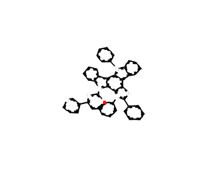 c1ccc(-c2nc3c4c5ccccc5n(-c5ccccc5)c4c4c5ccccc5n(-c5nccc(-c6cccnc6)n5)c4c3n2-c2ccccc2)cc1